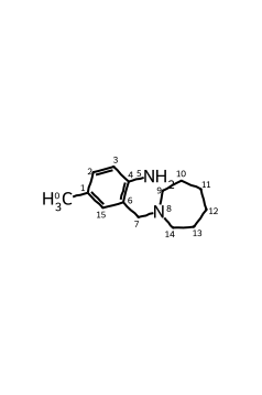 Cc1ccc(N)c(CN2CCCCCC2)c1